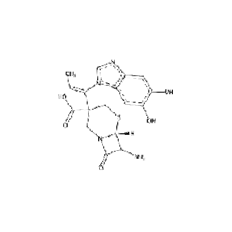 CC=C(n1cnc2cc(O)c(O)cc21)C1(C(=O)O)CS[C@@H]2C(N)C(=O)N2C1